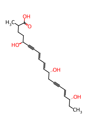 CC[C@@H](O)C=CC#CC[C@@H](O)C=CC=CC#C[C@@H](O)CCC(C)C(=O)O